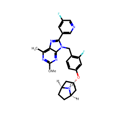 COc1nc(C)c2nc(-c3cncc(F)c3)n(Cc3ccc(O[C@@H]4C[C@H]5CC[C@@H](C4)N5C)cc3F)c2n1